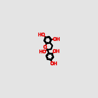 Oc1ccc(C2(O)CCc3c(O)cc(O)cc3O2)c(O)c1